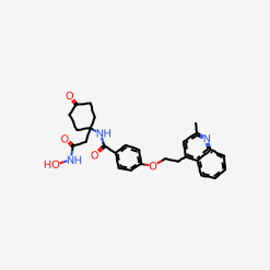 Cc1cc(CCOc2ccc(C(=O)NC3(CC(=O)NO)CCC(=O)CC3)cc2)c2ccccc2n1